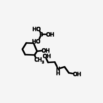 CC1CCCCC1O.OB(O)O.OCCNCCO